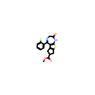 COC(=O)C1Cc2sc3c(c2C1)C(c1ccccc1F)=NCC(=O)N3